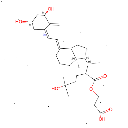 C=C1/C(=C\C=C2CCC[C@@]3(C)C2CC[C@@H]3[C@H](C)C(CCC(C)(C)O)C(=O)OCCC(=O)O)C[C@@H](O)C[C@H]1O